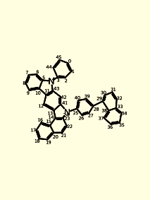 c1ccc(-n2c3ccccc3c3cc4c5c6ccccc6ccc5n(-c5ccc(-c6cccc7ccccc67)cc5)c4cc32)cc1